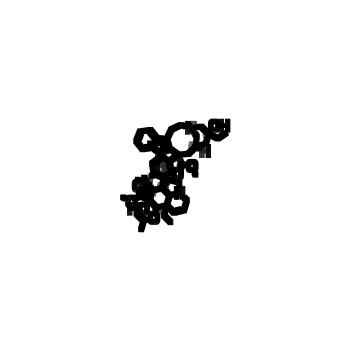 C=C(C)O[C@@H]1C2(CC)C=CCN3CC[C@@]4(c5cc([C@@]6(C(=O)OC)C[C@@H]7CN(CCc8c6[nH]c6ccccc86)C[C@](O)(CC)C7)c(OC)cc5N(C)[C@H]4[C@@]1(O)C(=O)OC)C32